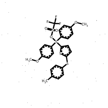 COc1ccc(S(OS(=O)(=O)C(F)(F)F)(c2ccc(OC)cc2)c2ccc(Sc3ccc(C)cc3)s2)cc1